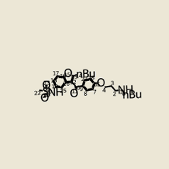 CCCCNCCCOc1ccc(C(=O)c2c(CCCC)oc3ccc(NS(C)(=O)=O)cc23)cc1